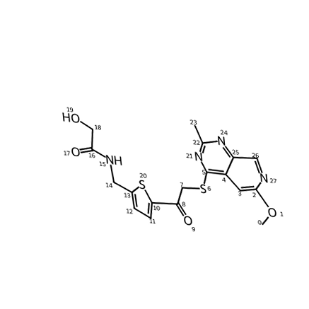 COc1cc2c(SCC(=O)c3ccc(CNC(=O)CO)s3)nc(C)nc2cn1